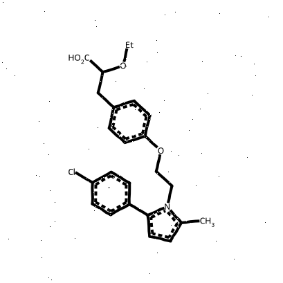 CCOC(Cc1ccc(OCCn2c(C)ccc2-c2ccc(Cl)cc2)cc1)C(=O)O